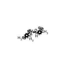 CCn1c(SCC(=O)Nc2ccc(C)c([N+](=O)[O-])c2)nnc1-c1ccc(OC)cc1